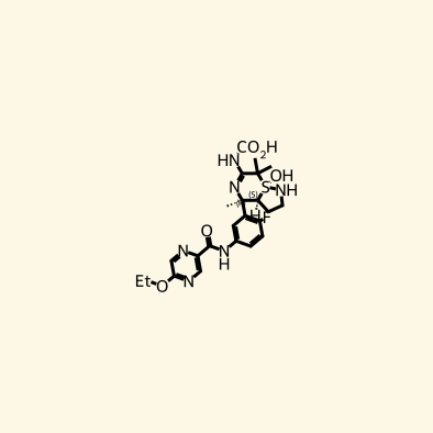 CCOc1cnc(C(=O)Nc2ccc(F)c([C@@]3(C)N=C(NC(=O)O)C(C)(C)S4(O)NCC[C@@H]34)c2)cn1